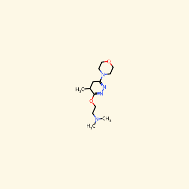 CC1CC(N2CCOCC2)=NN=C1OCCN(C)C